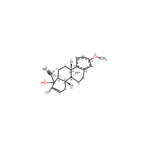 C#CC1(O)C(Cl)=CC[C@H]2[C@@H]3CCc4cc(OC)ccc4[C@H]3CC[C@@]21C